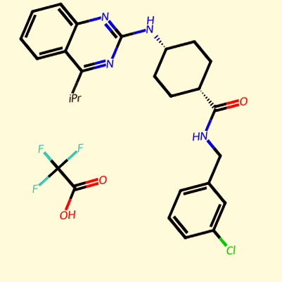 CC(C)c1nc(N[C@H]2CC[C@@H](C(=O)NCc3cccc(Cl)c3)CC2)nc2ccccc12.O=C(O)C(F)(F)F